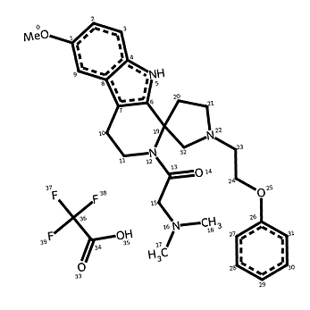 COc1ccc2[nH]c3c(c2c1)CCN(C(=O)CN(C)C)C31CCN(CCOc2ccccc2)C1.O=C(O)C(F)(F)F